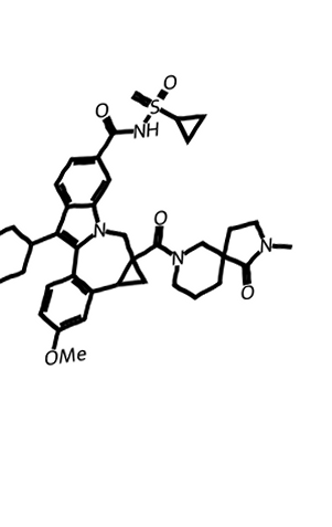 C=S(=O)(NC(=O)c1ccc2c(C3CCCCC3)c3n(c2c1)CC1(C(=O)N2CCCC4(CCN(C)C4=O)C2)CC1c1cc(OC)ccc1-3)C1CC1